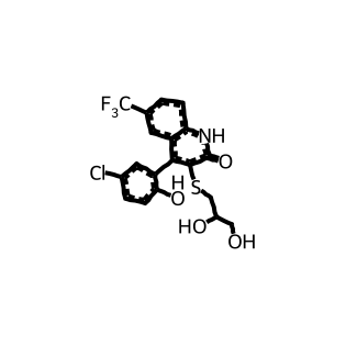 O=c1[nH]c2ccc(C(F)(F)F)cc2c(-c2cc(Cl)ccc2O)c1SCC(O)CO